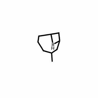 CC1CCCC2BC(C1)C2